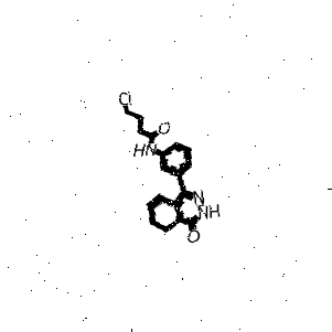 O=C(CCCCl)Nc1cccc(-c2n[nH]c(=O)c3c2CCCC3)c1